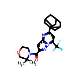 CC1(C)COCCN1C(=O)c1cc2nc(C34CC5CC(CC(C5)C3)C4)cc(C(F)(F)F)n2n1